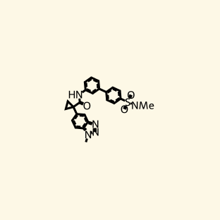 CNS(=O)(=O)c1ccc(-c2cccc(NC(=O)C3(c4ccc5c(c4)nnn5C)CC3)c2)cc1